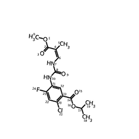 COC(=O)C(C)=CNC(=O)Nc1cc(C(=O)OC(C)C)c(Cl)cc1F